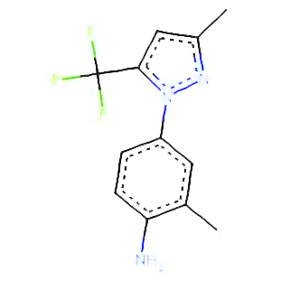 Cc1cc(C(F)(F)F)n(-c2ccc(N)c(C)c2)n1